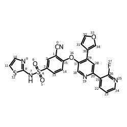 N#Cc1cc(S(=O)(=O)Nc2nccs2)ccc1Oc1cnc(-c2cccnc2F)cc1-c1ccoc1